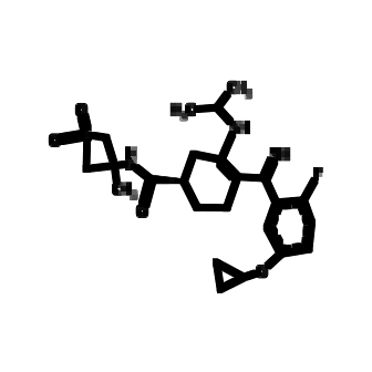 CC(C)NC1=C(C(=N)c2cc(OC3CC3)ccc2F)CC[C@@H](C(=O)NC2(C)CS(=O)(=O)C2)C1